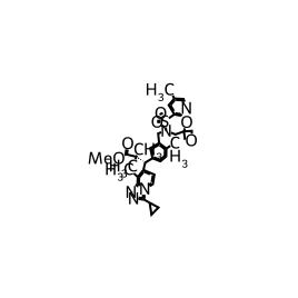 COC(=O)C(C)(C)[C@H](c1ccc(C)c(CN2CC3(COC3)Oc3ncc(C)cc3S2(=O)=O)c1)c1ccn2c(C3CC3)nnc2c1C